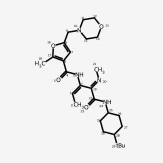 C/C=C(NC(=O)c1cc(CN2CCOCC2)oc1C)\C(=N/C)C(=O)NC1CCC(C(C)(C)C)CC1